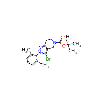 Cc1cccc(C)c1-n1nc2c(c1Br)CN(C(=O)OC(C)(C)C)CC2